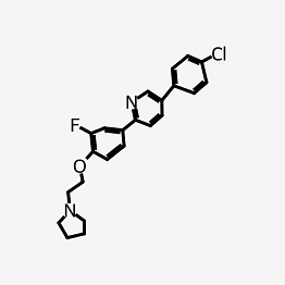 Fc1cc(-c2ccc(-c3ccc(Cl)cc3)cn2)ccc1OCCN1CCCC1